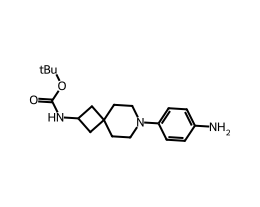 CC(C)(C)OC(=O)NC1CC2(CCN(c3ccc(N)cc3)CC2)C1